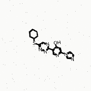 Oc1cc(-n2ccnc2)ncc1-c1ncc(SC2CCCCC2)nn1